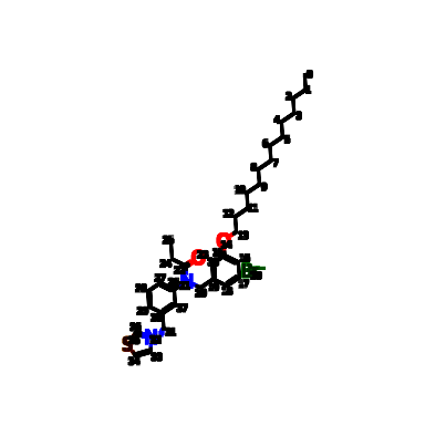 CCCCCCCCCCCCCCOc1cccc(CN(C(=O)CC)c2cccc(C[n+]3ccsc3)c2)c1.[Br-]